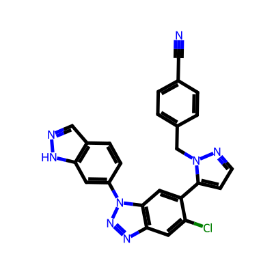 N#Cc1ccc(Cn2nccc2-c2cc3c(cc2Cl)nnn3-c2ccc3cn[nH]c3c2)cc1